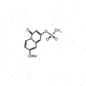 COc1ccn2c(=O)cc(OS(C)(=O)=O)cc2c1